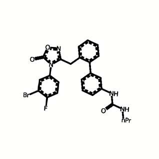 CCCNC(=O)Nc1cccc(-c2ccccc2Cc2noc(=O)n2-c2ccc(F)c(Br)c2)c1